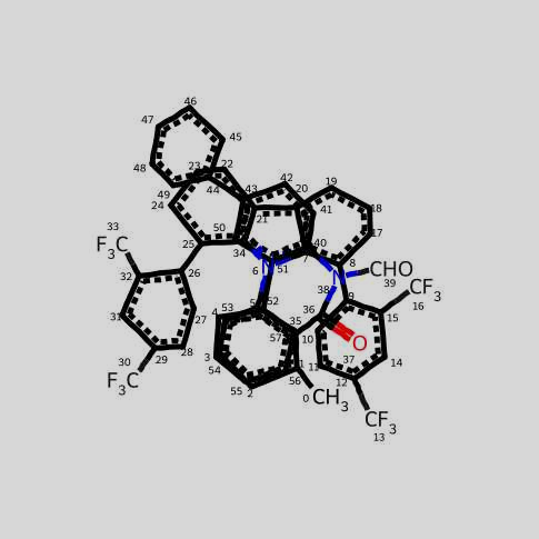 Cc1cccc(-n2c3c(-c4ccc(C(F)(F)F)cc4C(F)(F)F)cccc3c3cccc(-c4ccc(C(F)(F)F)cc4C(F)(F)F)c32)c1C(=O)N(C=O)c1ccc(-c2ccccc2)cc1-c1ccccc1